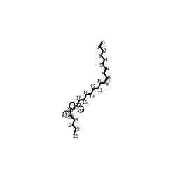 CCCCCCCC/C=C\CCCCCCCC(=O)OC1OC1CCCC